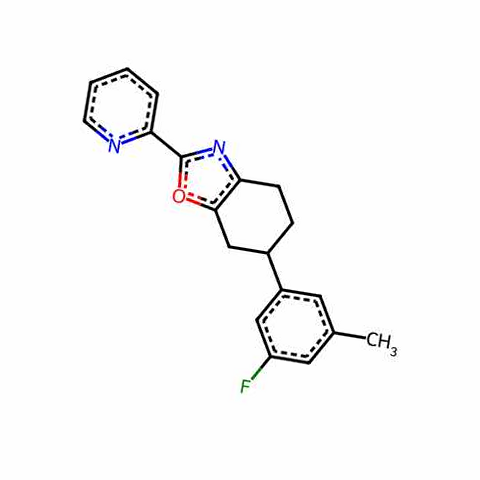 Cc1cc(F)cc(C2CCc3nc(-c4ccccn4)oc3C2)c1